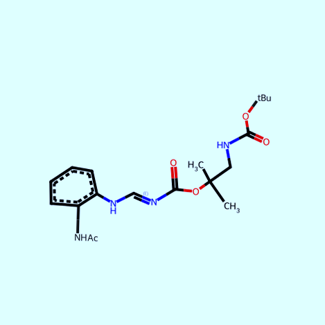 CC(=O)Nc1ccccc1N/C=N/C(=O)OC(C)(C)CNC(=O)OC(C)(C)C